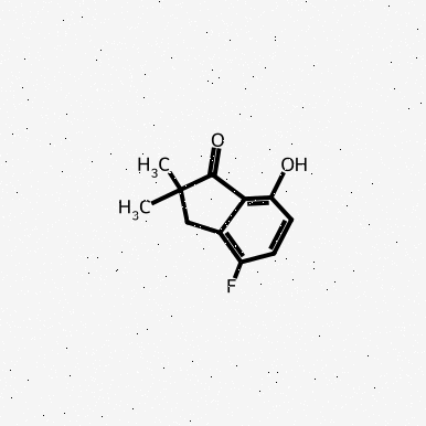 CC1(C)Cc2c(F)ccc(O)c2C1=O